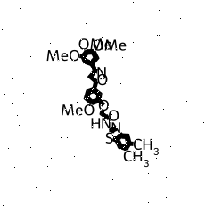 COc1ccc(C2CC(c3cc(OC)c(OC)c(OC)c3)=NO2)cc1OCC(=O)Nc1nc2cc(C)c(C)cc2s1